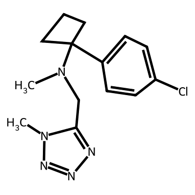 CN(Cc1nnnn1C)C1(c2ccc(Cl)cc2)CCC1